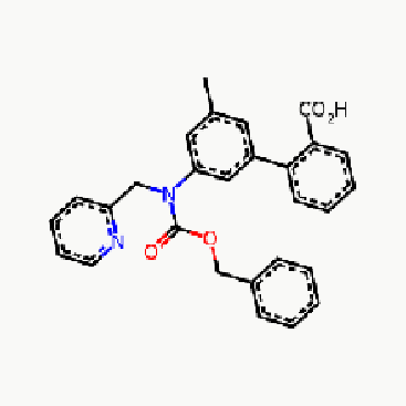 Cc1cc(-c2ccccc2C(=O)O)cc(N(Cc2ccccn2)C(=O)OCc2ccccc2)c1